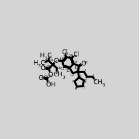 CCCCC1(C2CCCC2)Cc2cc(OC(CC)(C(=O)OC(=O)O)C(C)C)c(Cl)c(Cl)c2C1=O